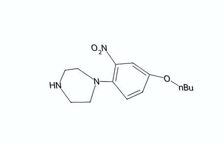 CCCCOc1ccc(N2CCNCC2)c([N+](=O)[O-])c1